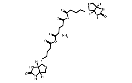 N[C@@H](CCC(=O)OC(=O)CCCC[C@@H]1SC[C@@H]2NC(=O)N[C@@H]21)C(=O)OC(=O)CCCC[C@@H]1SC[C@@H]2NC(=O)N[C@@H]21